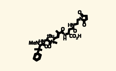 CN[C@H](C(=O)NC(C(=O)N(C)C/C=C(\C)C(=O)N[C@@H](CC(=O)NCCN1C(=O)C=CC1=O)C(=O)O)C(C)(C)C)C(C)(C)c1ccccc1